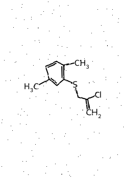 C=C(Cl)CSc1cc(C)ccc1C